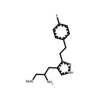 CNCC(N)Cc1c[nH]nc1CCc1ccc(F)cc1